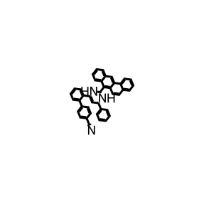 N#Cc1ccc(-c2ccccc2C2=CC(c3ccccc3)NC(c3c4ccccc4cc4c3ccc3ccccc34)N2)cc1